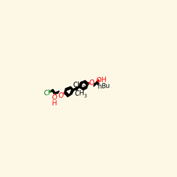 CCCCC(O)COc1ccc(C(C)(C)c2ccc(OCC(O)CCl)cc2)cc1